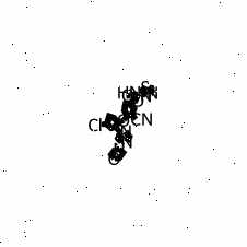 N#Cc1cc(S(=O)(=O)Nc2nncs2)ccc1Oc1ccc(Cl)cc1-c1cc(N2CCOCC2)ncn1